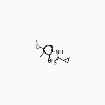 COc1ccc(NC(=S)C2CC2)c(Br)c1C